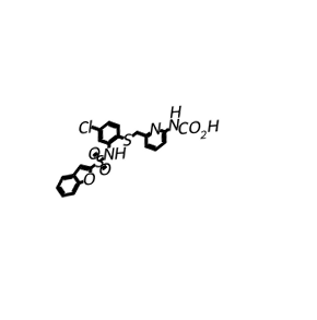 O=C(O)Nc1cccc(CSc2ccc(Cl)cc2NS(=O)(=O)c2cc3ccccc3o2)n1